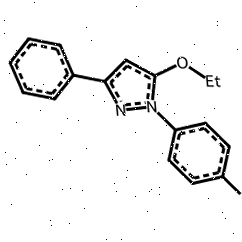 CCOc1cc(-c2ccccc2)nn1-c1ccc(Cl)cc1